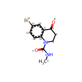 CNC(=O)N1CCC(=O)c2cc(Br)ccc21